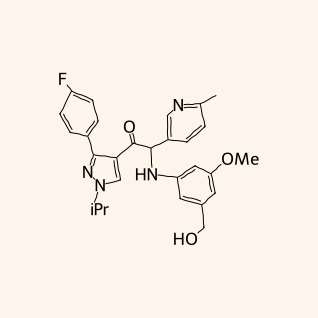 COc1cc(CO)cc(NC(C(=O)c2cn(C(C)C)nc2-c2ccc(F)cc2)c2ccc(C)nc2)c1